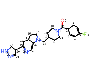 O=C(C1C=CC(F)=CC1)N1CCC(CN2CCC3CC(C4C=NNC4)=NC=C32)CC1